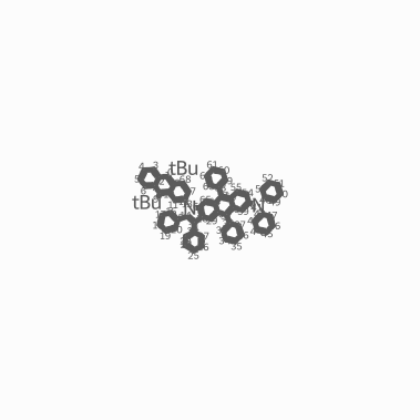 CC(C)(C)c1c2ccccc2c(C(C)(C)C)c2cc(-n3c(-c4ccccc4)c(-c4ccccc4)c4cc5c(-c6ccccc6)c6cc(N(c7ccccc7)c7ccccc7)ccc6c(-c6ccccc6)c5cc43)ccc12